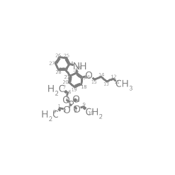 C=COP(=O)(OC=C)OC=C.CCCCCOc1cccc2c1[nH]c1ccccc12